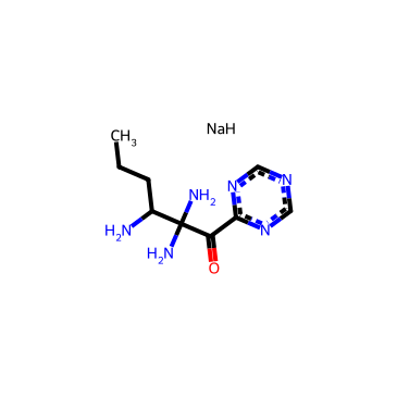 CCCC(N)C(N)(N)C(=O)c1ncncn1.[NaH]